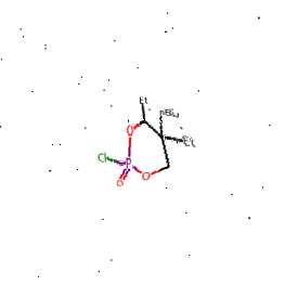 CCCCC1(CC)COP(=O)(Cl)OC1CC